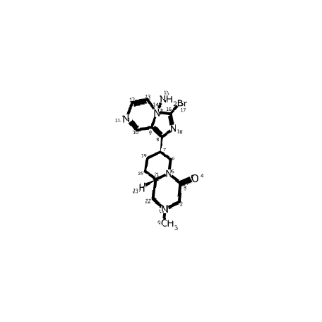 CN1CC(=O)N2C[C@H](C3=C4C=NC=C[N+]4(N)C(Br)=N3)CC[C@H]2C1